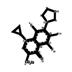 CCOC(=O)c1cn(C2CC2)c2c(F)c(N3CCOC3)c(F)c(F)c2c1=O